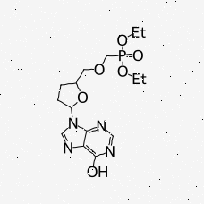 CCOP(=O)(COCC1CCC(n2cnc3c(O)ncnc32)O1)OCC